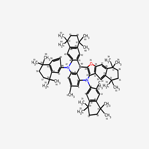 Cc1cc2c3c(c1)N(c1cc4c(cc1C)C(C)(C)CCC4(C)C)c1c(oc4cc5c(cc14)C(C)(C)CCC5(C)C)B3c1cc3c(cc1N2c1ccc2c(c1)C(C)(C)CCC2(C)C)C(C)(C)CCC3(C)C